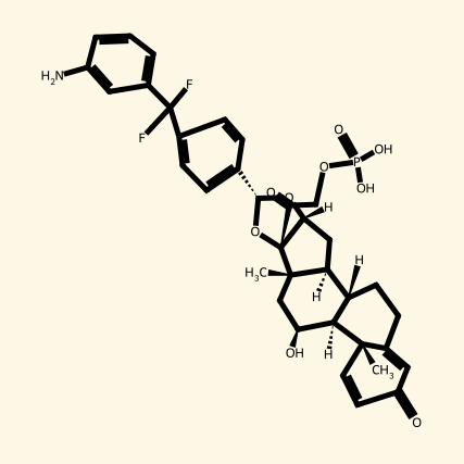 C[C@]12C=CC(=O)C=C1CC[C@@H]1[C@@H]2[C@@H](O)C[C@@]2(C)[C@H]1C[C@H]1O[C@@H](c3ccc(C(F)(F)c4cccc(N)c4)cc3)O[C@]12C(=O)COP(=O)(O)O